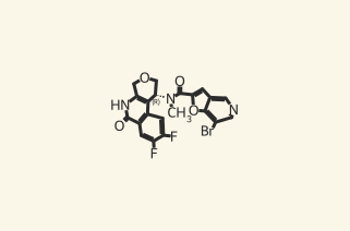 CN(C(=O)c1cc2cncc(Br)c2o1)[C@H]1COCc2[nH]c(=O)c3cc(F)c(F)cc3c21